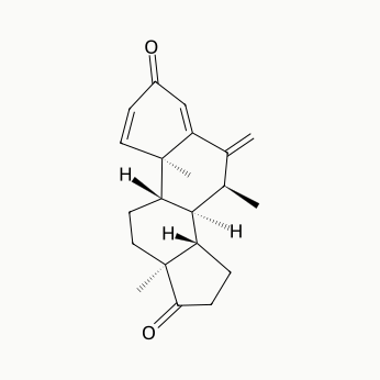 C=C1C2=CC(=O)C=C[C@]2(C)[C@H]2CC[C@]3(C)C(=O)CC[C@H]3[C@@H]2[C@@H]1C